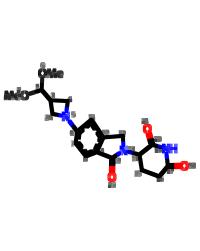 COC(OC)C1CN(c2ccc3c(c2)CN(C2CCC(=O)NC2=O)C3=O)C1